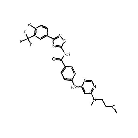 COCCN(C)c1cc(Nc2ccc(C(=O)Nc3nc(-c4ccc(F)c(C(F)(F)F)c4)ns3)cc2)ncn1